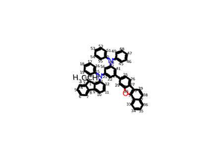 CC1(C)c2ccccc2-c2cccc(N(c3ccccc3)c3cc(-c4ccc5c(c4)oc4c6ccccc6ccc54)cc(N(c4ccccc4)c4ccccc4)c3)c21